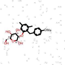 COc1ccc(Cc2c(C)cc(C)cc2O[C@@H]2[C@@H](O)[C@H](O)[C@@H](CO)O[C@H]2O)cc1